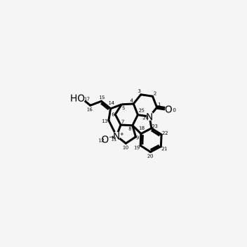 O=C1CCC2C3CC4C5(CC[N+]4([O-])C/C3=C\CO)c3ccccc3N1C25